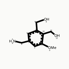 COc1cc(CN)cc(CO)c1CO